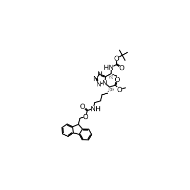 COC(=O)[C@H](CCCCNC(=O)OCC1c2ccccc2-c2ccccc21)n1nnnc1[C@H](C)NC(=O)OC(C)(C)C